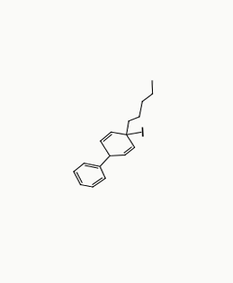 CCCCCC1(I)C=CC(c2ccccc2)C=C1